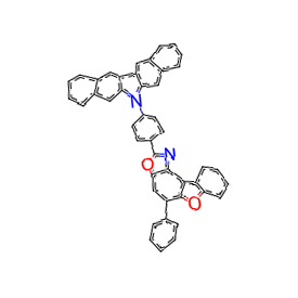 c1ccc(-c2cc3oc(-c4ccc(-n5c6cc7ccccc7cc6c6cc7ccccc7cc65)cc4)nc3c3c2oc2ccccc23)cc1